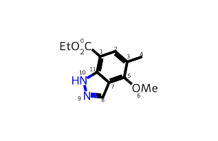 CCOC(=O)c1cc(C)c(OC)c2cn[nH]c12